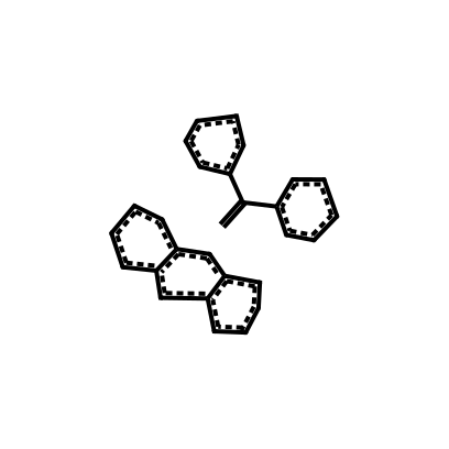 C=C(c1ccccc1)c1ccccc1.c1ccc2cc3ccccc3cc2c1